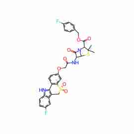 CC1(C)SC2C(NC(=O)COc3ccc4c(c3)S(=O)(=O)Cc3c-4[nH]c4ccc(F)cc34)C(=O)N2C1C(=O)OCc1ccc(F)cc1